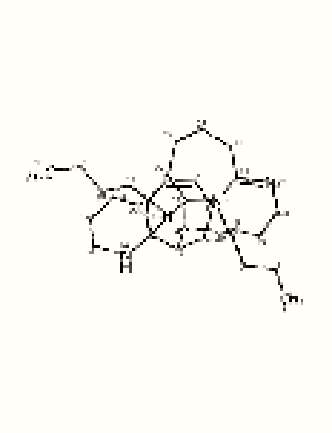 CCCCN1C2CCC=CN3CCCNC23N(CCCC)C12CCCCC1=NCCCN12